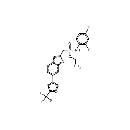 CCOP(=O)(Cc1cn2ccc(-c3noc(C(F)(F)F)n3)cc2n1)Nc1ccc(F)cc1F